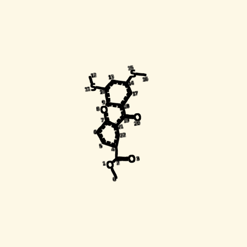 COC(=O)c1ccc2oc3c(SC)cc(SC)cc3c(=O)c2c1